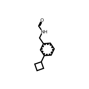 O=CNCc1cccc(C2CCC2)c1